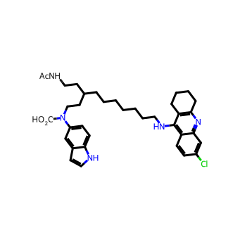 CC(=O)NCCC(CCCCCCCNc1c2c(nc3cc(Cl)ccc13)CCCC2)CCN(C(=O)O)c1ccc2[nH]ccc2c1